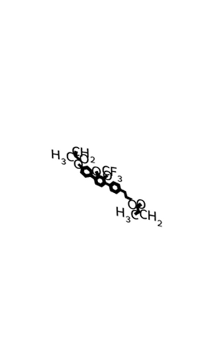 C=C(C)C(=O)OCCCc1ccc(-c2ccc3c(oc4cc(OC(=O)C(=C)C)ccc43)c2OC(F)(F)F)cc1